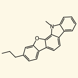 CCCc1ccc2c(c1)oc1c2ccc2c3ccccc3n(C)c21